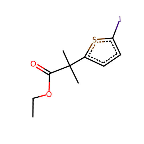 CCOC(=O)C(C)(C)c1ccc(I)s1